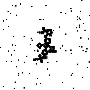 CCCS(=O)(=O)Nc1ccc(-c2c(C#N)c3ccc(Oc4ncccc4[N+](=O)O)cc3n2C2CCC2)c(OC)c1